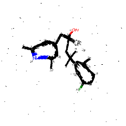 Cc1cc(CC(O)(CC(C)(C)c2cc(F)ccc2C)C(F)(F)F)cc(C)n1